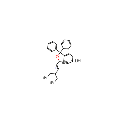 CCCCC(/C=C/C(CC(C)C)CC(C)C)OC(c1ccccc1)(c1ccccc1)c1ccccc1.[LiH]